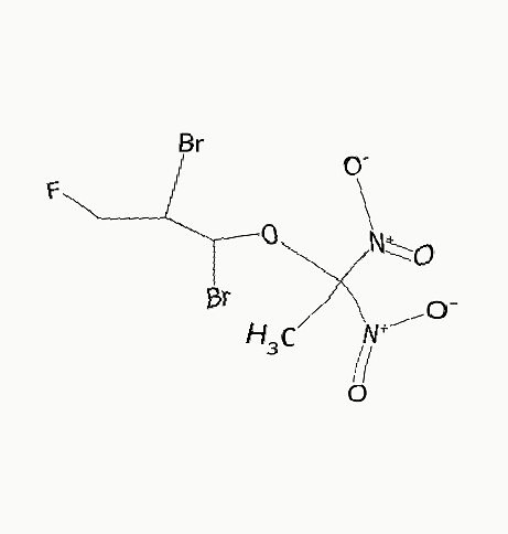 CC(OC(Br)C(Br)CF)([N+](=O)[O-])[N+](=O)[O-]